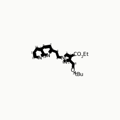 CCOC(=O)c1cn(CCc2ccc3cccnc3n2)nc1COC(C)(C)C